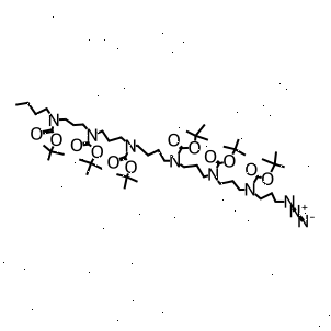 CCCCN(CCCN(CCCN(CCCCN(CCCN(CCCN(CCCN=[N+]=[N-])C(=O)OC(C)(C)C)C(=O)OC(C)(C)C)C(=O)OC(C)(C)C)C(=O)OC(C)(C)C)C(=O)OC(C)(C)C)C(=O)OC(C)(C)C